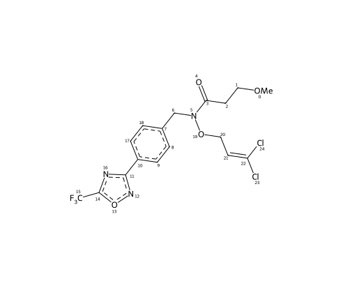 COCCC(=O)N(Cc1ccc(-c2noc(C(F)(F)F)n2)cc1)OCC=C(Cl)Cl